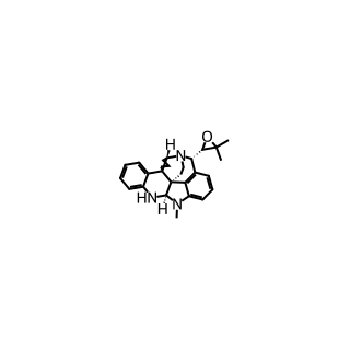 CN1c2cccc3c2[C@]24CCN([C@H]5CCC[C@]52c2ccccc2N[C@H]14)[C@@H]3C1OC1(C)C